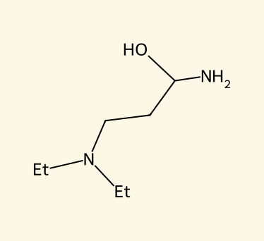 CCN(CC)CCC(N)O